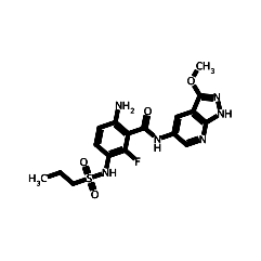 CCCS(=O)(=O)Nc1ccc(N)c(C(=O)Nc2cnc3[nH]nc(OC)c3c2)c1F